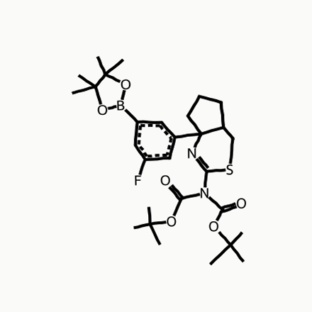 CC(C)(C)OC(=O)N(C(=O)OC(C)(C)C)C1=NC2(c3cc(F)cc(B4OC(C)(C)C(C)(C)O4)c3)CCCC2CS1